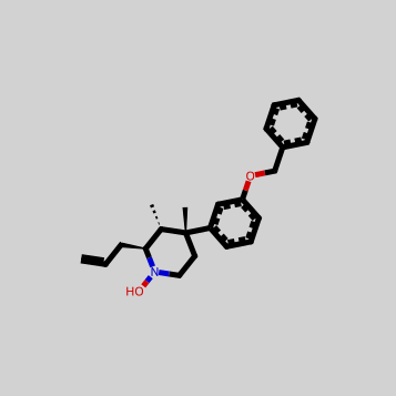 C=CC[C@H]1[C@H](C)[C@](C)(c2cccc(OCc3ccccc3)c2)CCN1O